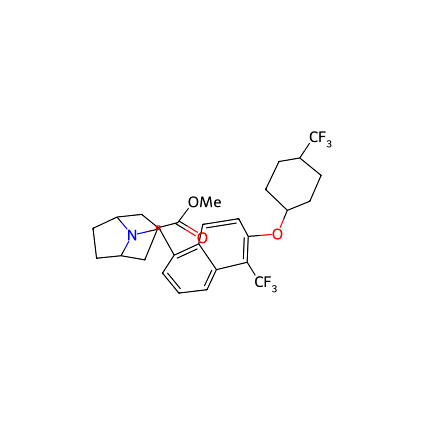 COC(=O)C1CC2CCC(C1)N2Cc1cccc2c(C(F)(F)F)c(OC3CCC(C(F)(F)F)CC3)ccc12